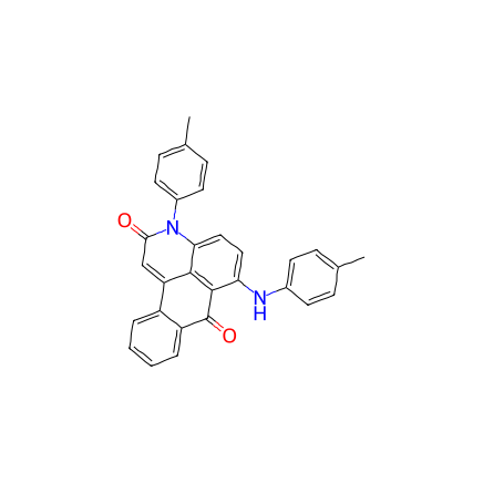 Cc1ccc(Nc2ccc3c4c(cc(=O)n3-c3ccc(C)cc3)-c3ccccc3C(=O)c24)cc1